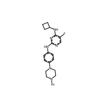 CC(=O)N1CCN(c2ccc(Nc3ncc(F)c(NC4CCC4)n3)cc2)CC1